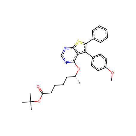 COc1ccc(-c2c(-c3ccccc3)sc3ncnc(O[C@H](C)CCCCC(=O)OC(C)(C)C)c23)cc1